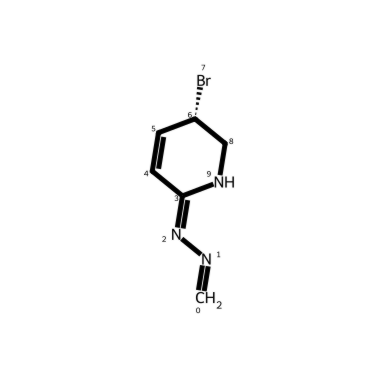 C=N/N=C1/C=C[C@H](Br)CN1